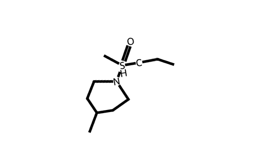 CCC[SH](C)(=O)N1CCC(C)CC1